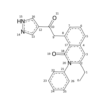 CCc1cc2cccc(CC(=O)c3cn[nH]c3)c2c(=O)n1-c1ccccc1